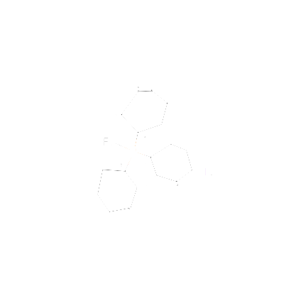 CC[P+](C1CCCCC1)(C1CCCCC1)C1CCCCC1.[I-]